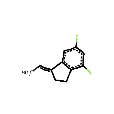 O=C(O)C=C1CCc2c(F)cc(F)cc21